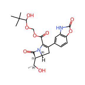 C[C@@H](O)[C@H]1C(=O)N2C(C(=O)OCOC(O)C(C)(C)C)=C(c3ccc4oc(=O)[nH]c4c3)C[C@H]12